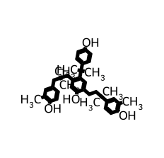 Cc1cc(CC(C)(C)Cc2cc(O)c(CCC(C)(C)c3ccc(O)c(C)c3)cc2C(C)(C)c2ccc(O)cc2)ccc1O